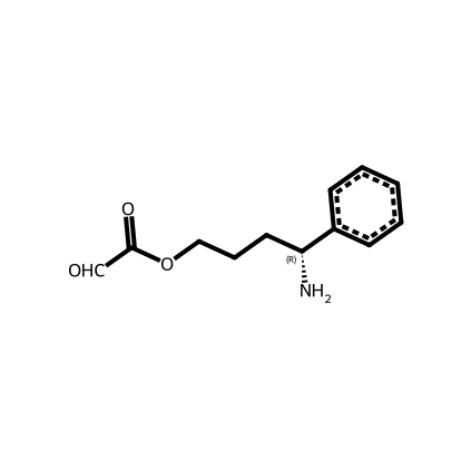 N[C@H](CCCOC(=O)C=O)c1ccccc1